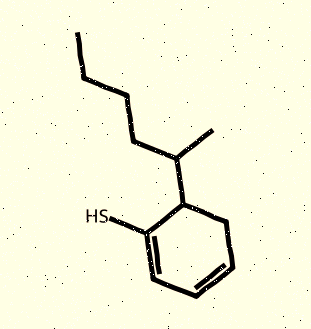 CCCCC(C)C1CC=CC=C1S